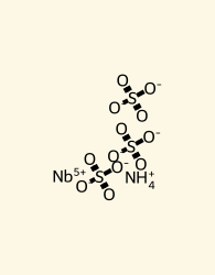 O=S(=O)([O-])[O-].O=S(=O)([O-])[O-].O=S(=O)([O-])[O-].[NH4+].[Nb+5]